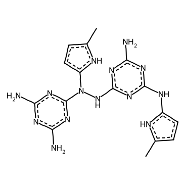 Cc1ccc(Nc2nc(N)nc(NN(c3nc(N)nc(N)n3)c3ccc(C)[nH]3)n2)[nH]1